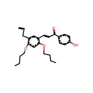 C=CCc1cc(C=CC(=O)c2ccc(O)cc2)c(OCCCC)cc1OCCCC